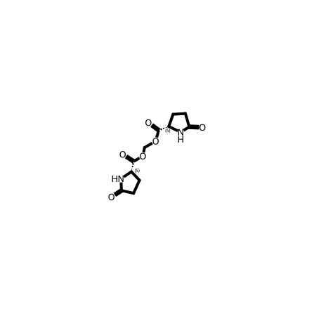 O=C1CC[C@@H](C(=O)OCOC(=O)[C@@H]2CCC(=O)N2)N1